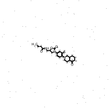 C=CCC(=O)NCC1CN(c2ccc(N3CCC4C(=O)CCCC4C3)c(F)c2)C(=O)O1